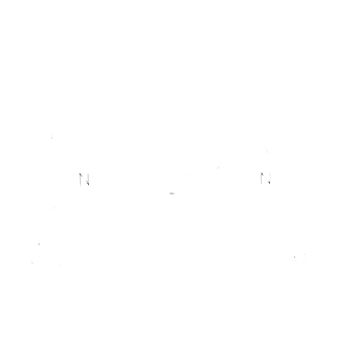 CCc1ccc(N(c2ccc(-c3ccccc3)cc2)c2ccc(-c3ccc(-c4ccc(N(c5ccc(COC)cc5)c5ccc(-c6ccccc6)cc5)cc4)cc3)cc2)cc1